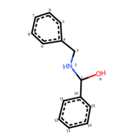 OC(NCc1ccccc1)c1ccccc1